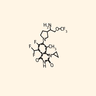 Cc1c(N2CCC(C(N)COC(F)(F)F)C2)c(F)c(C(F)F)c2c(=O)[nH]c(=O)n(C3CC3)c12